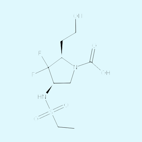 CCS(=O)(=O)N[C@@H]1CN(C(=O)O)[C@H](CCO)C1(F)F